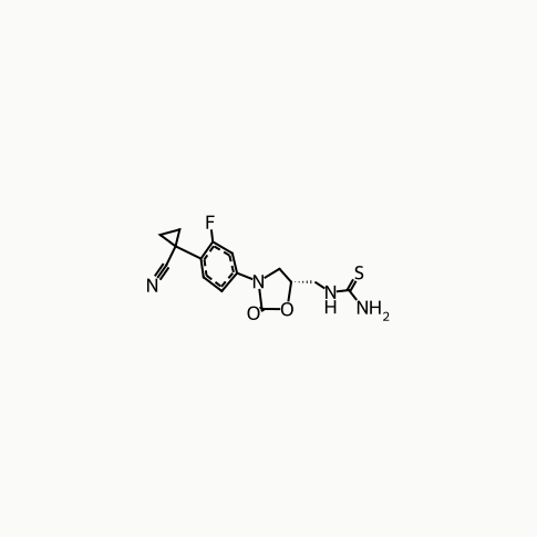 N#CC1(c2ccc(N3C[C@H](CNC(N)=S)OC3=O)cc2F)CC1